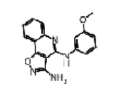 COc1cccc(Nc2nc3ccccc3c3onc(N)c23)c1